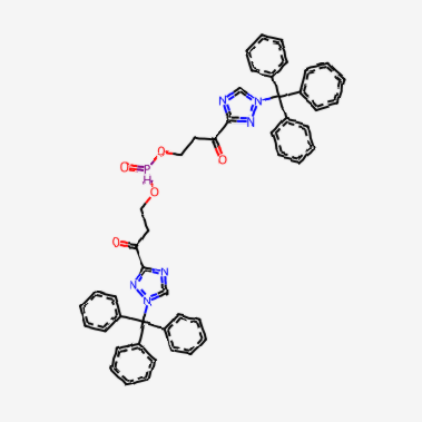 O=C(CCO[PH](=O)OCCC(=O)c1ncn(C(c2ccccc2)(c2ccccc2)c2ccccc2)n1)c1ncn(C(c2ccccc2)(c2ccccc2)c2ccccc2)n1